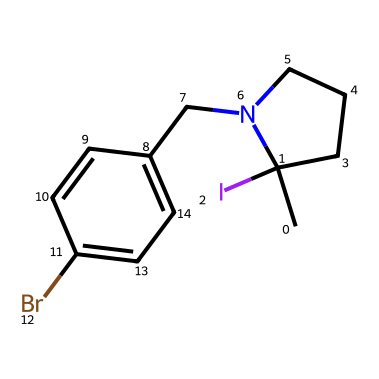 CC1(I)CCCN1Cc1ccc(Br)cc1